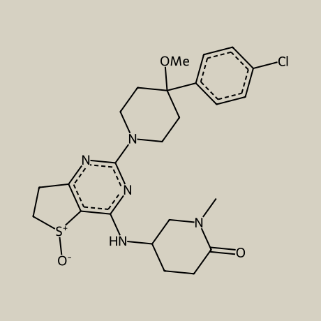 COC1(c2ccc(Cl)cc2)CCN(c2nc3c(c(NC4CCC(=O)N(C)C4)n2)[S+]([O-])CC3)CC1